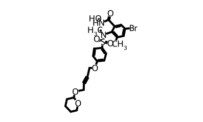 Cc1cc(Br)cc(C(=O)NO)c1N(C)S(=O)(=O)c1ccc(OCC#CCOC2CCCCO2)cc1